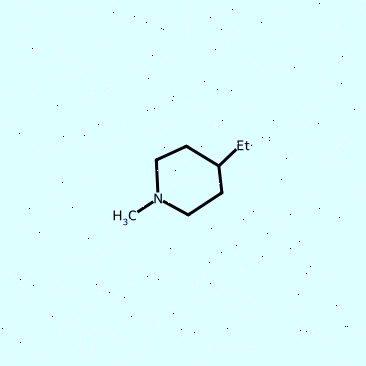 C[CH]C1CCN(C)CC1